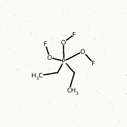 CCP(CC)(OF)(OF)OF